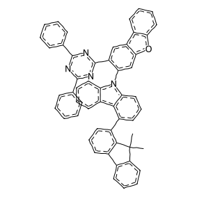 CC1(C)c2ccccc2-c2cccc(-c3cccc4c3c3ccccc3n4-c3cc4oc5ccccc5c4cc3-c3nc(-c4ccccc4)nc(-c4ccccc4)n3)c21